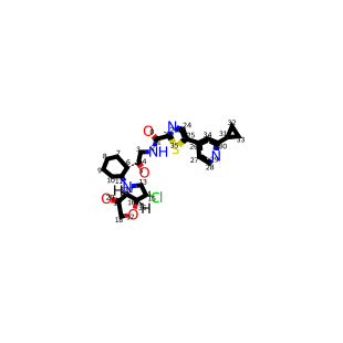 O=C(NCC(=O)[C@H]1CCCCC1N1C[C@H](Cl)[C@H]2OCC(=O)[C@H]21)c1ncc(-c2ccnc(C3CC3)c2)s1